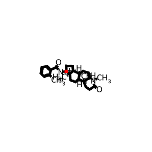 Cc1ccccc1C(=O)NC1CC[C@H]2[C@@H]3CC[C@H]4N(C)C(=O)CC[C@]4(C)[C@H]3CC[C@]12C